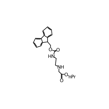 CCCOC(=O)CNCCNC(=O)OCC1c2ccccc2-c2ccccc21